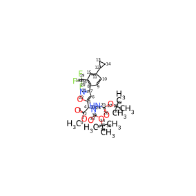 COC(=O)C(c1cc(-c2ccc(C3CC3)cc2C(F)(F)F)no1)N(NC(=O)OC(C)(C)C)C(=O)OC(C)(C)C